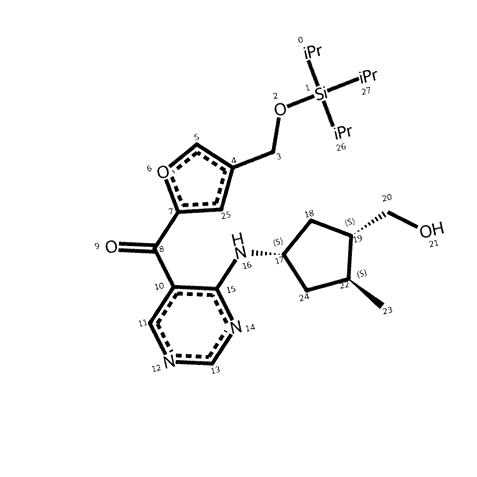 CC(C)[Si](OCc1coc(C(=O)c2cncnc2N[C@@H]2C[C@H](CO)[C@@H](C)C2)c1)(C(C)C)C(C)C